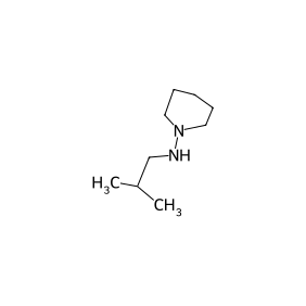 CC(C)CNN1CCCCC1